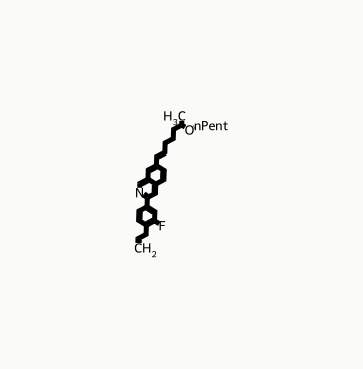 C=CCc1ccc(-c2cc3ccc(/C=C/CCCC(C)OCCCCC)cc3cn2)cc1F